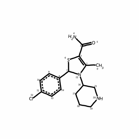 CC1=C(C(N)=O)SC(c2ccc(Cl)cc2)N1C1CCCNC1